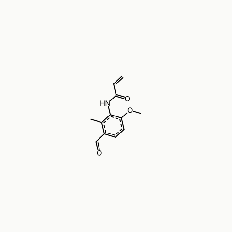 C=CC(=O)Nc1c(OC)ccc(C=O)c1C